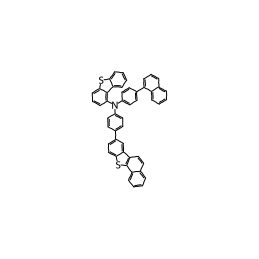 c1ccc2c(-c3ccc(N(c4ccc(-c5ccc6sc7c8ccccc8ccc7c6c5)cc4)c4cccc5sc6ccccc6c45)cc3)cccc2c1